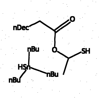 CCCCCCCCCCCC(=O)OC(C)S.CCC[CH2][SnH]([CH2]CCC)[CH2]CCC